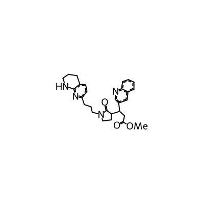 COC(=O)CC(c1cnc2ccccc2c1)C1CCN(CCCc2ccc3c(n2)NCCC3)C1=O